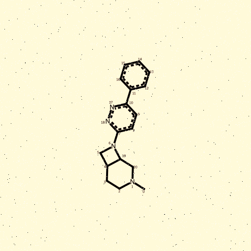 CN1CCC2CN(c3ccc(-c4ccccc4)nn3)C2C1